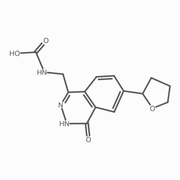 O=C(O)NCc1n[nH]c(=O)c2cc(C3CCCO3)ccc12